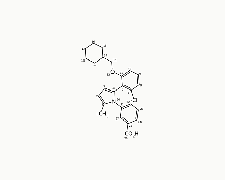 Cc1ccc(-c2c(Cl)cccc2OCC2CCCCC2)n1-c1cccc(C(=O)O)c1